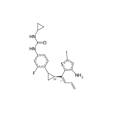 C=C/C=C(\c1sc(I)cc1N)[C@H]1CC1c1ccc(NC(=O)NC2CC2)cc1F